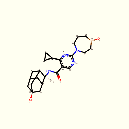 O=C(N[C@H]1C2CC3CC1C[C@@](O)(C3)C2)c1cnc(N2CCC[S+]([O-])CC2)nc1C1CC1